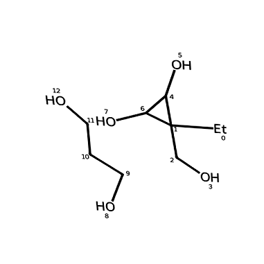 CCC1(CO)C(O)C1O.OCCCO